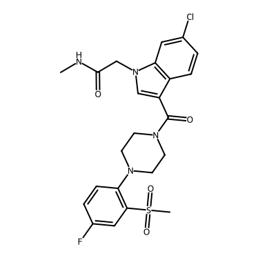 CNC(=O)Cn1cc(C(=O)N2CCN(c3ccc(F)cc3S(C)(=O)=O)CC2)c2ccc(Cl)cc21